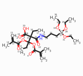 C=C(C)C(=O)OC(CC)(OC(=O)C(=C)C)C(CC)(C(=O)O)C(=O)NCCC[Si](OCC)(OCC)OCC